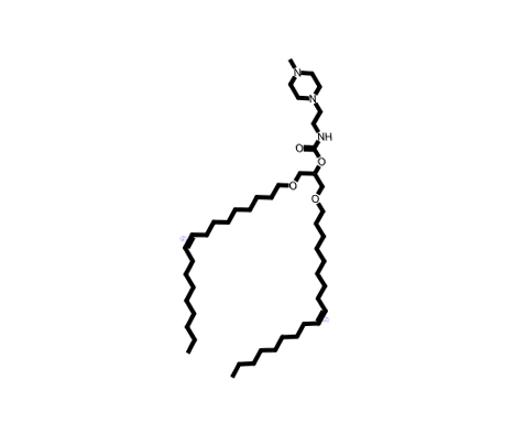 CCCCCCCC/C=C\CCCCCCCCOCC(COCCCCCCCC/C=C\CCCCCCCC)OC(=O)NCCN1CCN(C)CC1